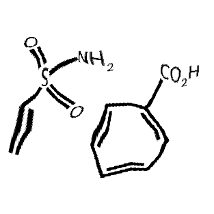 C=CS(N)(=O)=O.O=C(O)c1ccccc1